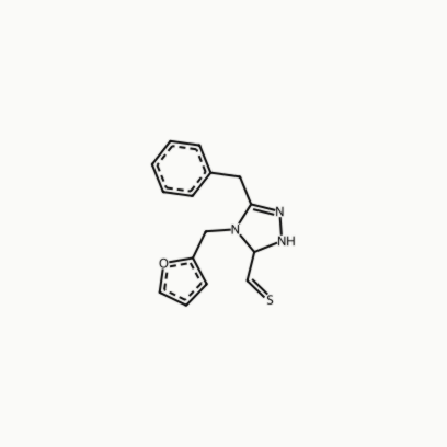 S=CC1NN=C(Cc2ccccc2)N1Cc1ccco1